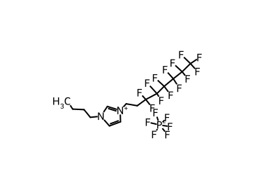 CCCCn1cc[n+](CCC(F)(F)C(F)(F)C(F)(F)C(F)(F)C(F)(F)C(F)(F)F)c1.F[P-](F)(F)(F)(F)F